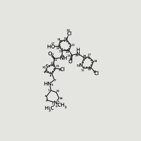 C[N+]1(C)CCC(NCc2csc(C(=O)Nc3c(O)cc(Cl)cc3C(=O)Nc3ccc(Cl)cn3)c2Cl)CC1